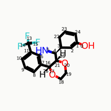 OC1=CC([C@@H]2Nc3c(cccc3C(F)(F)F)[C@H]3OCCO[C@H]32)CC=C1